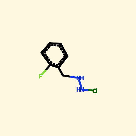 Fc1ccccc1CNNCl